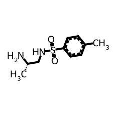 Cc1ccc(S(=O)(=O)NC[C@H](C)N)cc1